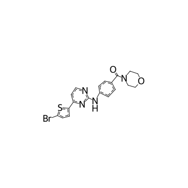 O=C(c1ccc(Nc2nccc(-c3ccc(Br)s3)n2)cc1)N1CCOCC1